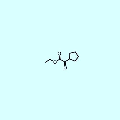 CCOC(=O)C(=O)C1CCCC1